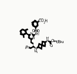 Cc1cccc(C)c1-c1cc(CC[C@@H](CC(C)C)NC2CC3(CC(NC(=O)OC(C)(C)C)C3)C2)nc(NS(=O)(=O)c2cccc(C(=O)O)c2)n1